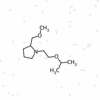 COCC1CCCN1CCOC(C)C